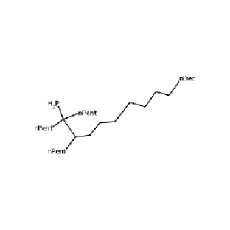 CCCCCCCCCCCCCCCCCC(CCCCC)C(P)(CCCCC)CCCCC